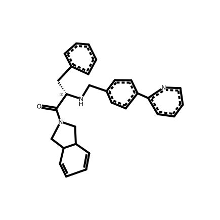 O=C([C@H](Cc1ccccc1)NCc1ccc(-c2ccccn2)cc1)N1CC2C=CC=CC2C1